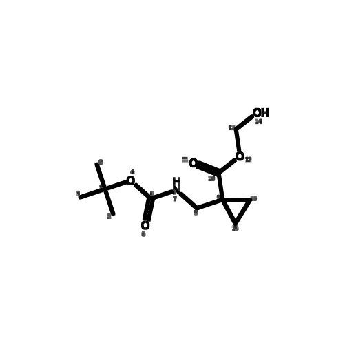 CC(C)(C)OC(=O)NCC1(C(=O)OCO)CC1